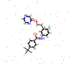 CC(C)(C)c1ccc(C(=O)Nc2ccc(F)c(CCOc3cnccn3)c2)cc1